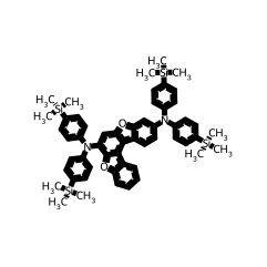 C[Si](C)(C)c1ccc(N(c2ccc([Si](C)(C)C)cc2)c2ccc3c(c2)oc2cc(N(c4ccc([Si](C)(C)C)cc4)c4ccc([Si](C)(C)C)cc4)c4oc5ccccc5c4c23)cc1